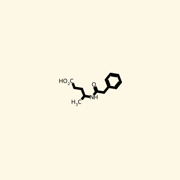 CC(CCC(=O)O)NC(=O)Cc1ccccc1